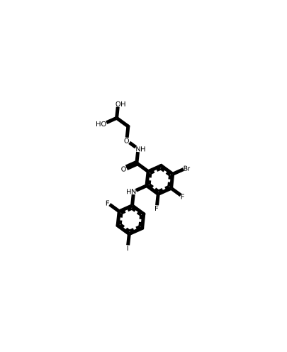 O=C(NOCC(O)O)c1cc(Br)c(F)c(F)c1Nc1ccc(I)cc1F